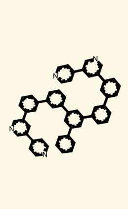 c1ccc(-c2cc(-c3cccc(-c4cccc(-c5cncc(-c6ccncc6)c5)c4)c3)cc(-c3cccc(-c4cccc(-c5cncc(-c6ccncc6)c5)c4)c3)c2)cc1